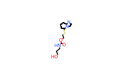 O=C(NCCCO)OCCSc1cccc2nccn12